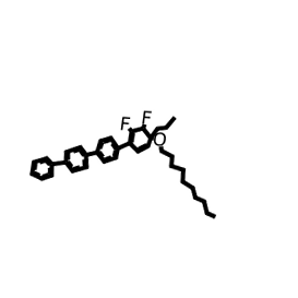 CCCCCCCCCCOC1(CCC)C=CC(c2ccc(-c3ccc(-c4ccccc4)cc3)cc2)=C(F)C1F